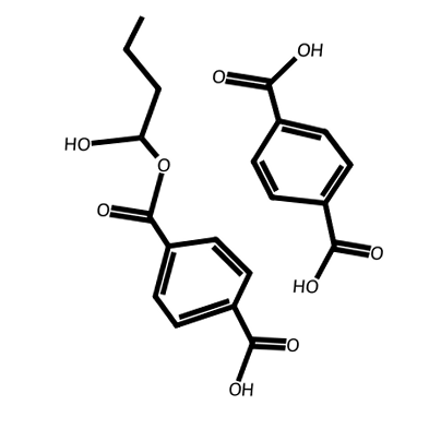 CCCC(O)OC(=O)c1ccc(C(=O)O)cc1.O=C(O)c1ccc(C(=O)O)cc1